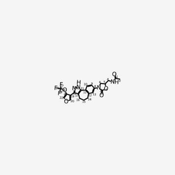 CC(=O)NCC1CN(c2ccc3c(c2)CCCc2c(-c4cocc4OC(F)(F)F)n[nH]c2-3)C(=O)O1